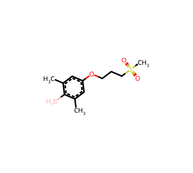 Bc1c(C)cc(OCCCS(C)(=O)=O)cc1C